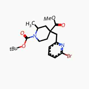 COC(=O)C1(Cc2cccc(Br)n2)CCN(C(=O)OC(C)(C)C)C(C)C1